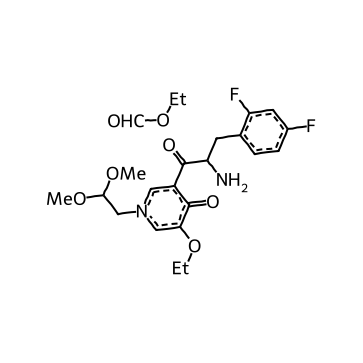 CCOC=O.CCOc1cn(CC(OC)OC)cc(C(=O)C(N)Cc2ccc(F)cc2F)c1=O